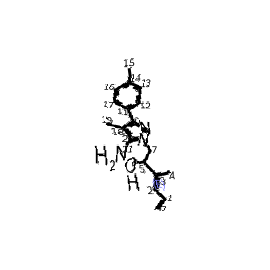 C=C/C=C(\C)C(O)Cn1nc(-c2ccc(C)cc2)c(C)c1N